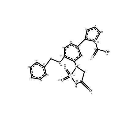 O=C1CN(c2cc(-c3cccn3C(=O)O)ccc2OCc2ccccc2)S(=O)(=O)N1